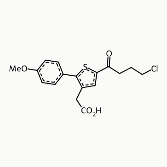 COc1ccc(-c2sc(C(=O)CCCCl)cc2CC(=O)O)cc1